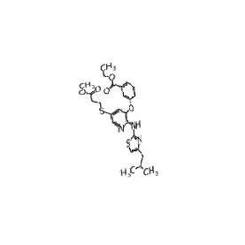 CCOC(=O)c1cccc(Oc2cc(SCCC(=O)OC)cnc2Nc2nc(CC(C)C)cs2)c1